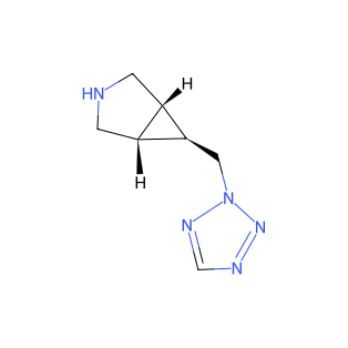 c1nnn(C[C@H]2[C@@H]3CNC[C@@H]32)n1